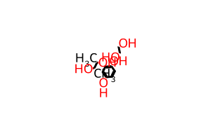 CC(O)C(C)O.OCCO.Oc1ccc(O)cc1